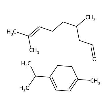 CC(C)=CCCC(C)CC=O.CC1=CC=C(C(C)C)CC1